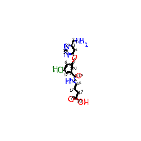 Cl.NCc1cc(Oc2cccc(C(=O)NCCCC(=O)O)c2)ncn1